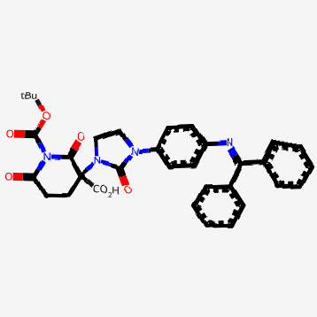 CC(C)(C)OC(=O)N1C(=O)CCC(C(=O)O)(N2CCN(c3ccc(N=C(c4ccccc4)c4ccccc4)cc3)C2=O)C1=O